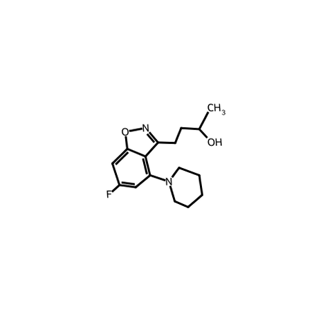 CC(O)CCc1noc2cc(F)cc(N3CCCCC3)c12